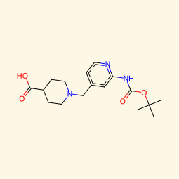 CC(C)(C)OC(=O)Nc1cc(CN2CCC(C(=O)O)CC2)ccn1